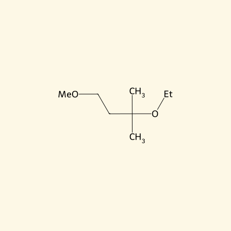 CCOC(C)(C)CCOC